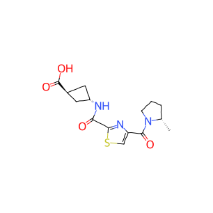 C[C@H]1CCCN1C(=O)c1csc(C(=O)N[C@H]2C[C@H](C(=O)O)C2)n1